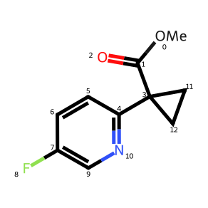 COC(=O)C1(c2ccc(F)cn2)CC1